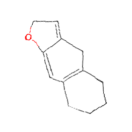 C1=C2CC3=C(C=C2OC1)CCCC3